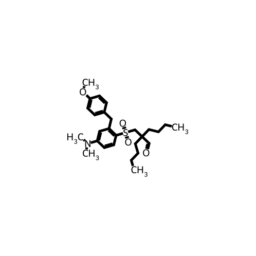 CCCCC(C=O)(CCCC)CS(=O)(=O)c1ccc(N(C)C)cc1Cc1ccc(OC)cc1